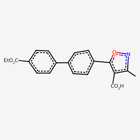 CCOC(=O)c1ccc(-c2ccc(-c3onc(C)c3C(=O)O)cc2)cc1